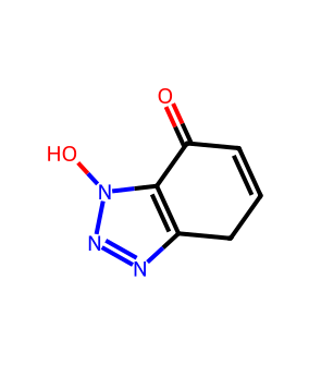 O=C1C=CCc2nnn(O)c21